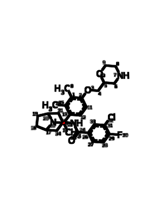 Cc1c(OCC2CNCCO2)ccc(C(C)N2C3CCC2CC(NC(=O)c2ccc(F)c(Cl)c2)C3)c1C